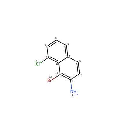 Nc1ccc2cccc(Cl)c2c1Br